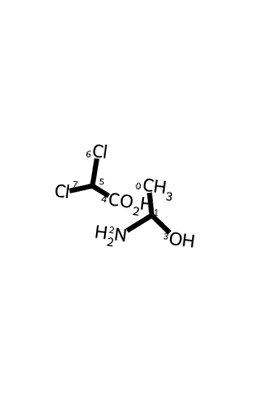 CC(N)O.O=C(O)C(Cl)Cl